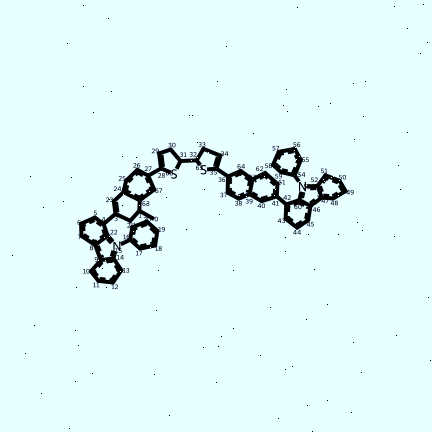 CC1CC(c2cccc3c4ccccc4n(-c4ccccc4)c23)=Cc2ccc(C3=CCC(C4CC=C(c5ccc6cc(-c7cccc8c9ccccc9n(-c9ccccc9)c78)ccc6c5)S4)S3)cc21